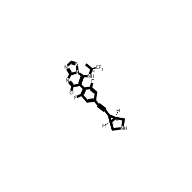 C[C@H](Nc1c(-c2c(F)cc(C#CC3[C@H]4CNC[C@@H]34)cc2F)c(Cl)nc2ncnn12)C(F)(F)F